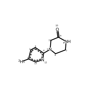 [2H]c1ccc(N2CCNC(=O)C2)nc1